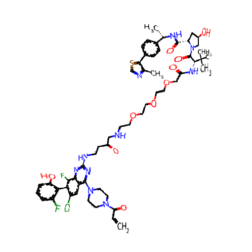 C=CC(=O)N1CCN(c2nc(NCCC(=O)CNCCOCCOCCOCC(=O)N[C@H](C(=O)N3C[C@H](O)C[C@H]3C(=O)N[C@@H](C)c3ccc(-c4scnc4C)cc3)C(C)(C)C)nc3c(F)c(-c4c(O)cccc4F)c(Cl)cc23)CC1